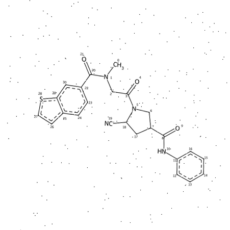 CN(CC(=O)N1CC(C(=O)Nc2ccccc2)CC1C#N)C(=O)c1ccc2ccsc2c1